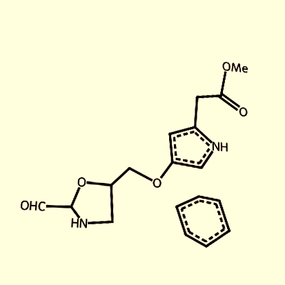 COC(=O)Cc1cc(OCC2CNC(C=O)O2)c[nH]1.c1ccccc1